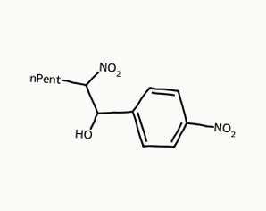 CCCCCC(C(O)c1ccc([N+](=O)[O-])cc1)[N+](=O)[O-]